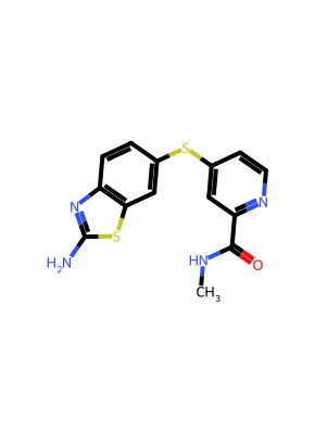 CNC(=O)c1cc(Sc2ccc3nc(N)sc3c2)ccn1